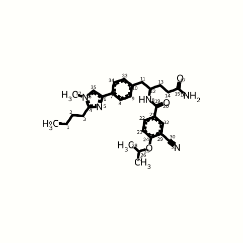 CCCCc1nc(-c2ccc(CC(CCC(N)=O)NC(=O)c3ccc(OC(C)C)c(C#N)c3)cc2)cn1C